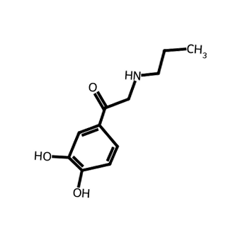 CCCNCC(=O)c1ccc(O)c(O)c1